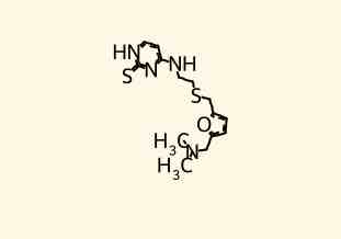 CN(C)Cc1ccc(CSCCNc2cc[nH]c(=S)n2)o1